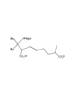 CCCCCCCC(C(C)CC)(C(C)CC)C(CCCCC(C)C(=O)O)C(=O)O